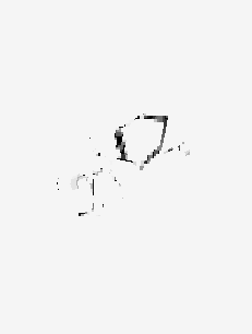 CONS(=O)(=O)c1cccc(Cl)c1